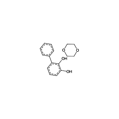 C1COCCO1.Oc1cccc(-c2ccccc2)c1O